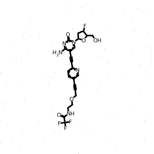 Nc1nc(=O)n(C2CC(F)C(CO)O2)cc1C#Cc1ccc(C#CCOCCNC(=O)C(F)(F)F)cn1